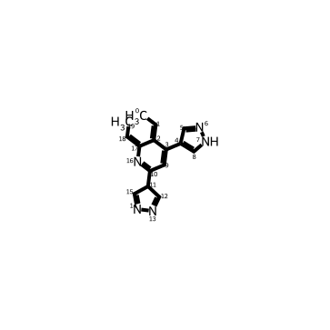 C/C=c1/c(-c2cn[nH]c2)cc(C2C=NN=C2)n/c1=C/C